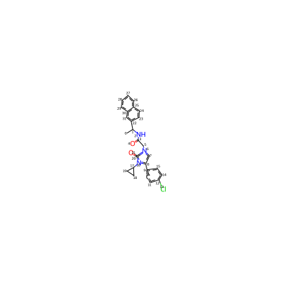 CC(NC(=O)Cn1cc(-c2ccc(Cl)cc2)n(C2CC2)c1=O)c1ccc2ccccc2c1